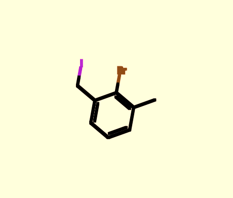 Cc1cccc(CI)c1Br